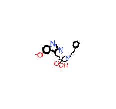 COc1ccc2ncc(N(C)C)c(CCCC3(C(=O)O)CCN(CCCc4ccccc4)CC3)c2c1